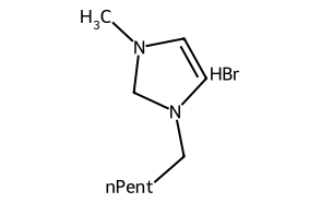 Br.CCCCCCN1C=CN(C)C1